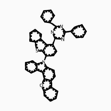 c1ccc(-c2nc(-c3ccccc3)nc(-c3ccc(-n4c5ccccc5c5c6oc7ccccc7c6ccc54)c4sc5ccccc5c34)n2)cc1